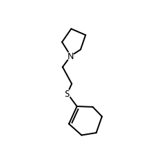 C1=C(SCCN2CCCC2)CCCC1